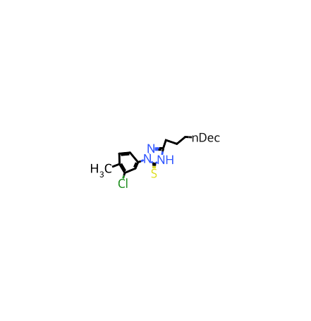 CCCCCCCCCCCCCc1nn(-c2ccc(C)c(Cl)c2)c(=S)[nH]1